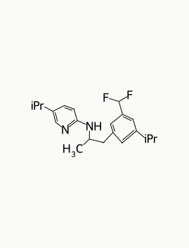 CC(Cc1cc(C(C)C)cc(C(F)F)c1)Nc1ccc(C(C)C)cn1